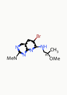 CNc1ncc2cc(Br)c(NC[C@@H](C)OC)nc2n1